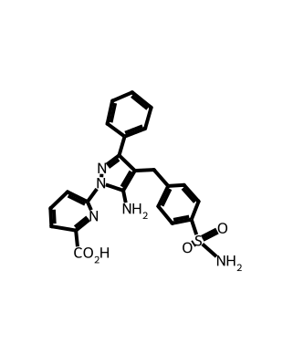 Nc1c(Cc2ccc(S(N)(=O)=O)cc2)c(-c2ccccc2)nn1-c1cccc(C(=O)O)n1